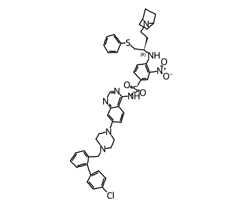 O=[N+]([O-])c1cc(S(=O)(=O)Nc2ncnc3cc(N4CCN(Cc5ccccc5-c5ccc(Cl)cc5)CC4)ccc23)ccc1N[C@H](CCN1C2CCC1CC2)CSc1ccccc1